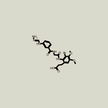 COc1cc(CCC(=O)O)c(NC(=O)CNC(=O)c2cccc(NC=NN)c2)c(Br)c1OC